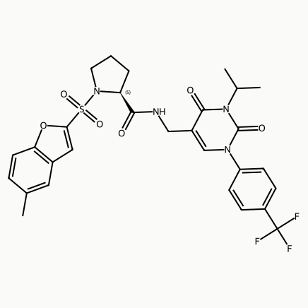 Cc1ccc2oc(S(=O)(=O)N3CCC[C@H]3C(=O)NCc3cn(-c4ccc(C(F)(F)F)cc4)c(=O)n(C(C)C)c3=O)cc2c1